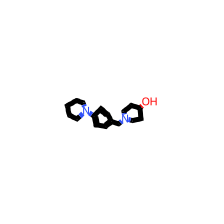 OC1CCN(Cc2ccc(N3CCCCC3)cc2)CC1